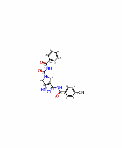 N#Cc1ccc(C(=O)Nc2n[nH]c3c2CN(C(=O)NC(=O)c2ccccc2)C3)cc1